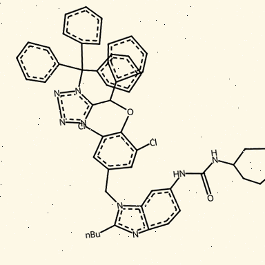 CCCCc1nc2ccc(NC(=O)NC3CCCCC3)cc2n1Cc1cc(Cl)c(OC(c2ccccc2)c2nnnn2C(c2ccccc2)(c2ccccc2)c2ccccc2)c(Cl)c1